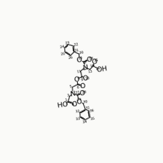 O=C(O)CN(CC(=O)OC(=O)CN(CC(=O)O)C(=O)OCc1ccccc1)C(=O)OCc1ccccc1